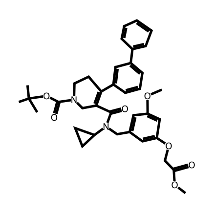 COC(=O)COc1cc(CN(C(=O)C2=C(c3cccc(-c4ccccc4)c3)CCN(C(=O)OC(C)(C)C)C2)C2CC2)cc(OC)c1